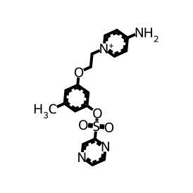 Cc1cc(OCC[n+]2ccc(N)cc2)cc(OS(=O)(=O)c2cnccn2)c1